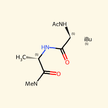 CC[C@H](C)[C@H](NC(C)=O)C(=O)N[C@@H](C)C(=O)NC